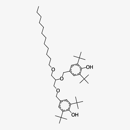 CCCCCCCCCCCCOCC(COCc1cc(C(C)(C)C)c(O)c(C(C)(C)C)c1)OCc1cc(C(C)(C)C)c(O)c(C(C)(C)C)c1